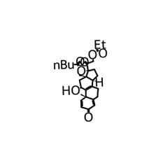 CCCCC(=O)O[C@]1(C(=O)COC(=O)CC)CC[C@H]2C3=C([C@@H](O)C[C@@]21C)[C@@]1(C)C=CC(=O)C=C1CC3